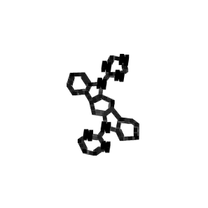 c1cnc(-n2c3ccccc3c3cc4c(cc32)c2ccccc2n4-c2ncncn2)nc1